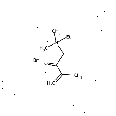 C=C(C)C(=O)C[N+](C)(C)CC.[Br-]